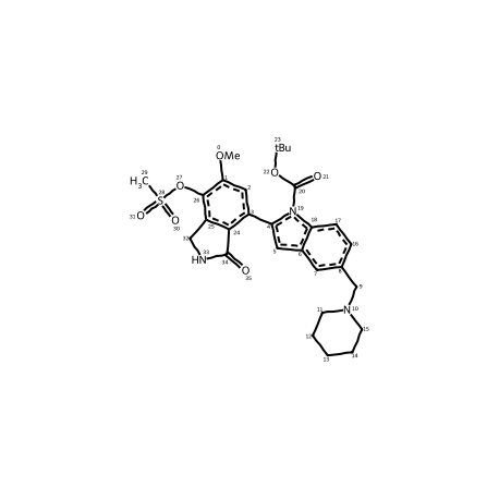 COc1cc(-c2cc3cc(CN4CCCCC4)ccc3n2C(=O)OC(C)(C)C)c2c(c1OS(C)(=O)=O)CNC2=O